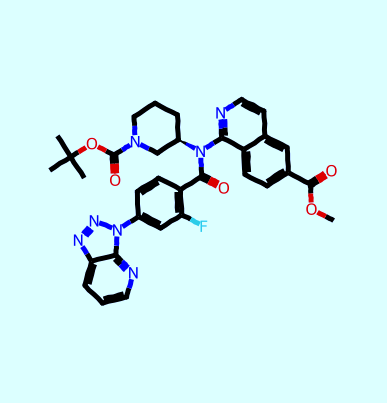 COC(=O)c1ccc2c(N(C(=O)c3ccc(-n4nnc5cccnc54)cc3F)[C@@H]3CCCN(C(=O)OC(C)(C)C)C3)nccc2c1